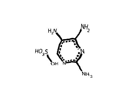 Nc1ncc(N)c(N)n1.O=S(=O)(O)O